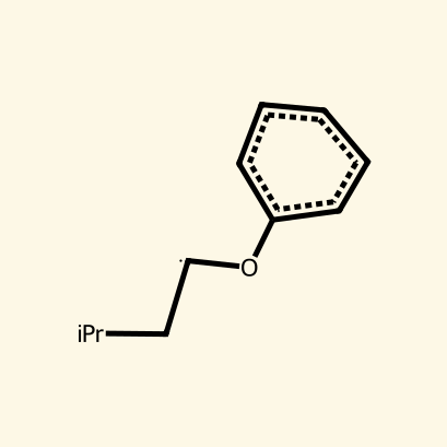 CC(C)C[CH]Oc1ccccc1